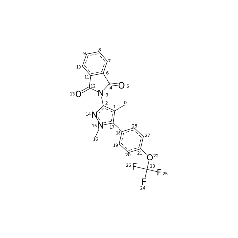 Cc1c(N2C(=O)c3ccccc3C2=O)nn(C)c1-c1ccc(OC(F)(F)F)cc1